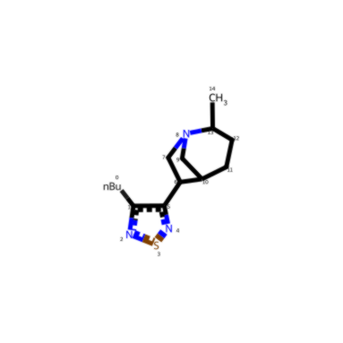 CCCCc1nsnc1C1CN2CC1CCC2C